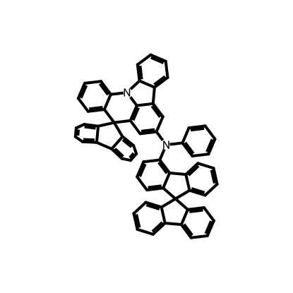 c1ccc(N(c2cc3c4c(c2)c2ccccc2n4-c2ccccc2C32c3ccccc3-c3ccccc32)c2cccc3c2-c2ccccc2C32c3ccccc3-c3ccccc32)cc1